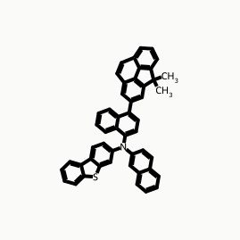 CC1(C)c2cccc3ccc4cc(-c5ccc(N(c6ccc7ccccc7c6)c6ccc7c(c6)sc6ccccc67)c6ccccc56)cc1c4c23